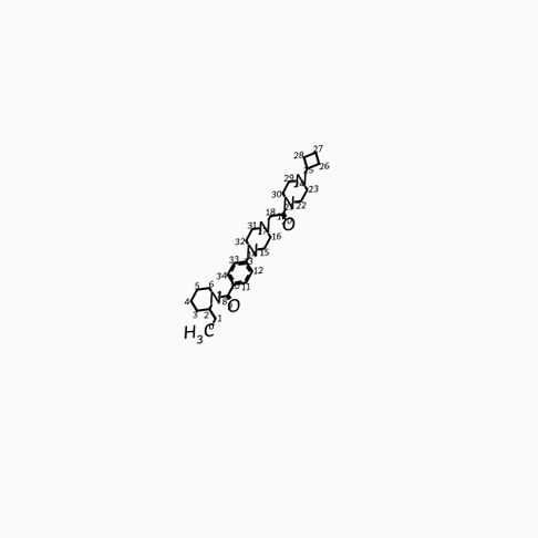 CCC1CCCCN1C(=O)c1ccc(N2CCN(CC(=O)N3CCN(C4CCC4)CC3)CC2)cc1